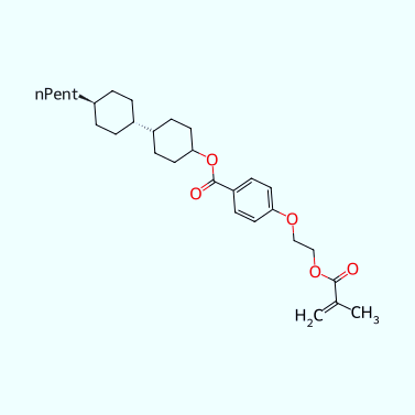 C=C(C)C(=O)OCCOc1ccc(C(=O)OC2CCC([C@H]3CC[C@H](CCCCC)CC3)CC2)cc1